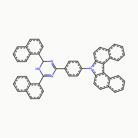 c1ccc2c(C3=NC(c4ccc(-n5c6ccc7ccccc7c6c6c7ccccc7ccc65)cc4)=NC(c4cccc5ccccc45)N3)cccc2c1